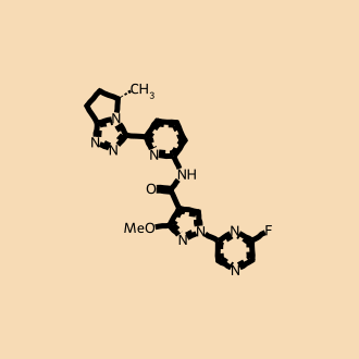 COc1nn(-c2cncc(F)n2)cc1C(=O)Nc1cccc(-c2nnc3n2[C@@H](C)CC3)n1